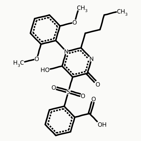 CCCCc1nc(=O)c(S(=O)(=O)c2ccccc2C(=O)O)c(O)n1-c1c(OC)cccc1OC